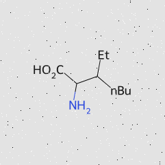 CCCCC(CC)C(N)C(=O)O